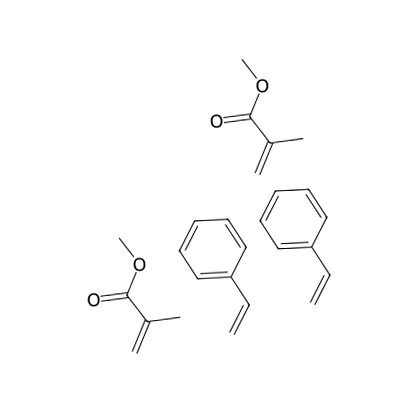 C=C(C)C(=O)OC.C=C(C)C(=O)OC.C=Cc1ccccc1.C=Cc1ccccc1